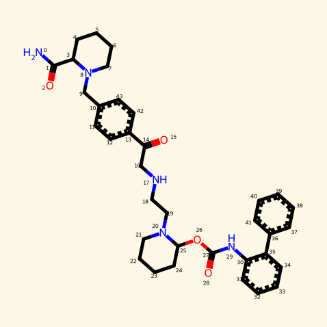 NC(=O)C1CCCCN1Cc1ccc(C(=O)CNCCN2CCCCC2OC(=O)Nc2ccccc2-c2ccccc2)cc1